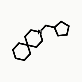 C1CCC2(CC1)CCN(CC1CCCC1)CC2